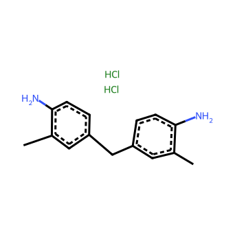 Cc1cc(Cc2ccc(N)c(C)c2)ccc1N.Cl.Cl